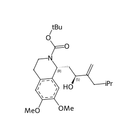 C=C(CC(C)C)[C@@H](O)C[C@@H]1c2cc(OC)c(OC)cc2CCN1C(=O)OC(C)(C)C